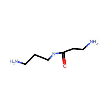 NCCC[N]C(=O)CCN